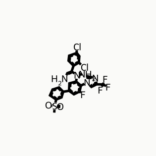 CS(=O)(=O)c1cccc(-c2cc(F)c(-n3cnc(C(F)(F)F)c3)c(N(N)/C(=C\N)c3ccc(Cl)cc3Cl)c2)c1